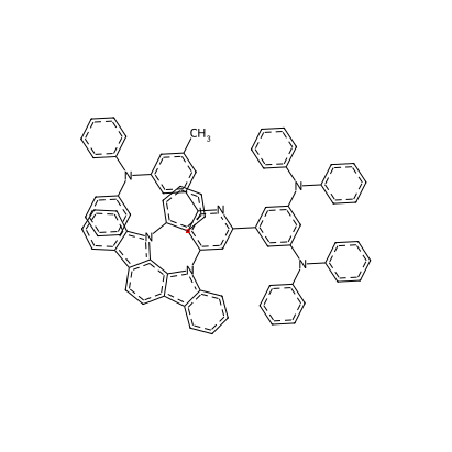 Cc1cc(-c2cc(-n3c4ccccc4c4ccc5c6ccccc6n(-c6ccccc6)c5c43)cc(-c3cc(N(c4ccccc4)c4ccccc4)cc(N(c4ccccc4)c4ccccc4)c3)n2)cc(N(c2ccccc2)c2ccccc2)c1